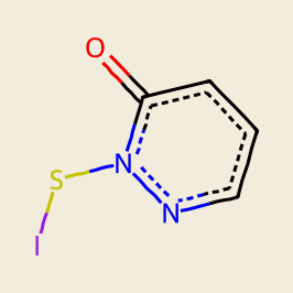 O=c1cccnn1SI